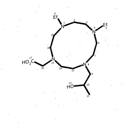 CCN1CCN(CC)CCN(CC(C)O)CCN(CC(=O)O)CC1